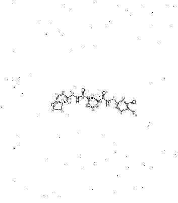 O=C(NCc1ccc(F)c(Cl)c1)c1cc(C(=O)NCc2ccc3c(c2)CCO3)ncn1